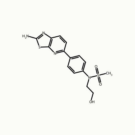 CS(=O)(=O)N(CCO)c1ccc(-c2ccc3nc(N)sc3n2)cc1